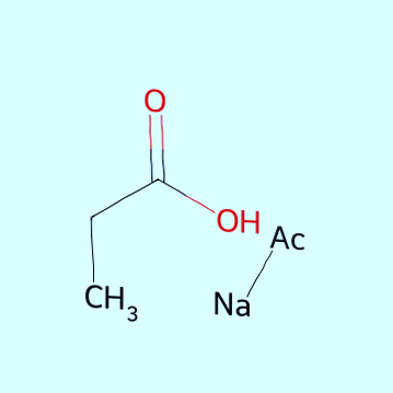 CCC(=O)O.C[C](=O)[Na]